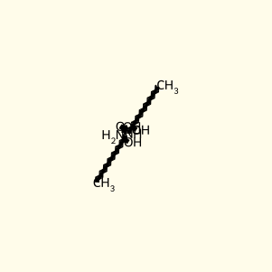 CCCCCCCCCCCCCCC(O)CNCC(O)CCCCCCCCCCCCCC.NCC(=O)O